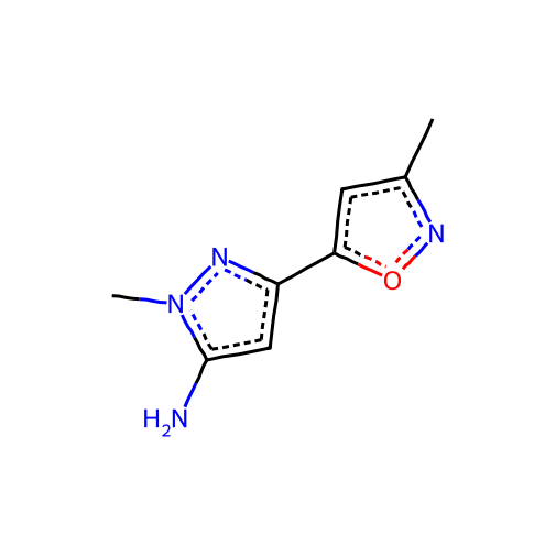 Cc1cc(-c2cc(N)n(C)n2)on1